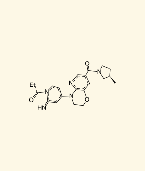 CCC(=O)n1ccc(N2CCOc3cc(C(=O)N4CC[C@@H](C)C4)cnc32)cc1=N